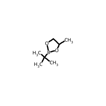 CC1COB(C(C)(C)C)O1